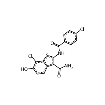 NC(=O)c1c(NC(=O)c2ccc(Cl)cc2)sc2c(Cl)c(O)ccc12